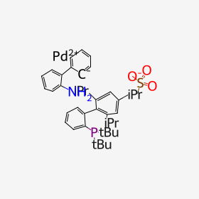 CC(C)c1cc(C(C)C)c(-c2ccccc2P(C(C)(C)C)C(C)(C)C)c(C(C)C)c1.CS(=O)(=O)[O-].Nc1ccccc1-c1[c-]cccc1.[Pd+2]